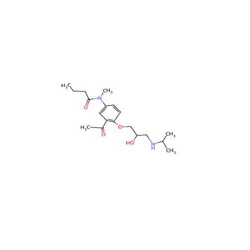 CCCC(=O)N(C)c1ccc(OCC(O)CNC(C)C)c(C(C)=O)c1